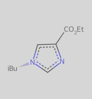 CCOC(=O)c1cn([C@@H](C)CC)cn1